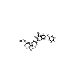 C[C@@H]1OCC2(CCN(c3nc4nn(Cc5ccccc5)cc4c(=O)n3C)CC2)[C@@H]1NC(=O)OC(C)(C)C